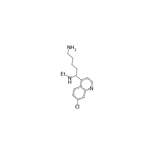 CCNC(CCCCN)c1ccnc2cc(Cl)ccc12